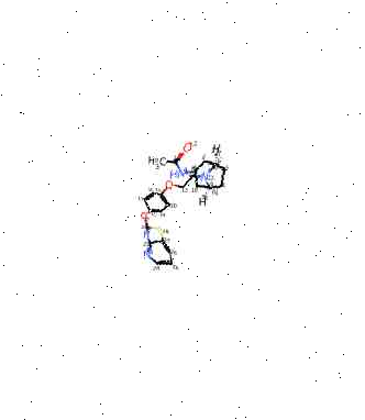 CC(=O)N[C@H]1C[C@H]2CC[C@@H](C1)N2CCOc1ccc(Oc2nc3ncccc3s2)cc1